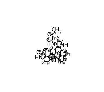 C=CC(=O)N1CC2CNc3c(c4cc(F)c(-c5c(C)ccc6[nH]c(=O)n(C)c56)c(F)c4n(-c4c(C(C)C)ncnc4C(C)C)c3=O)N2CC1C